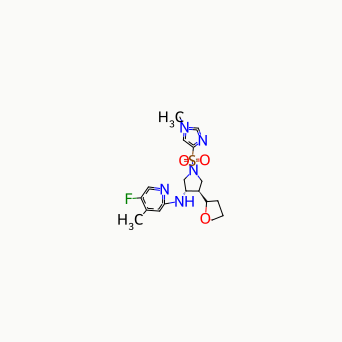 Cc1cc(N[C@@H]2CN(S(=O)(=O)c3cn(C)cn3)C[C@H]2C2CCCO2)ncc1F